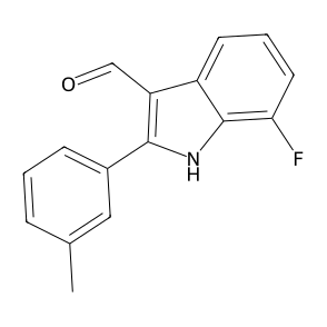 Cc1cccc(-c2[nH]c3c(F)cccc3c2C=O)c1